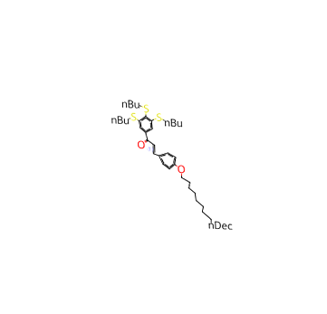 CCCCCCCCCCCCCCCCCCOc1ccc(/C=C/C(=O)c2cc(SCCCC)c(SCCCC)c(SCCCC)c2)cc1